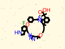 Cn1cc2nc1-c1cccc(c1)Oc1c(F)cc3[nH]ccc3c1Cn1cc(nn1)C(C)(C)OCCCC2(C)c1cccc(C(C)(C)C(=O)O)c1